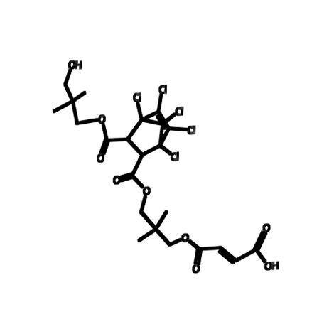 CC(C)(CO)COC(=O)C1C(C(=O)OCC(C)(C)COC(=O)C=CC(=O)O)C2(Cl)C(Cl)=C(Cl)C1(Cl)C2Cl